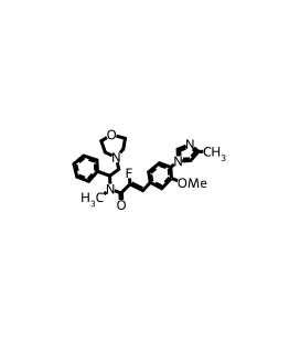 COc1cc(C=C(F)C(=O)N(C)C(CN2CCOCC2)c2ccccc2)ccc1-n1cnc(C)c1